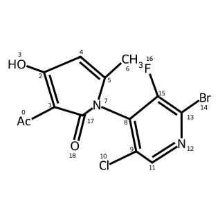 CC(=O)c1c(O)cc(C)n(-c2c(Cl)cnc(Br)c2F)c1=O